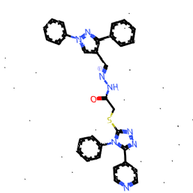 O=C(CSc1nnc(-c2ccncc2)n1-c1ccccc1)N/N=C/c1cn(-c2ccccc2)nc1-c1ccccc1